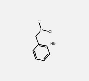 Br.[Cl][Zn]([Cl])[CH2]c1ccccc1